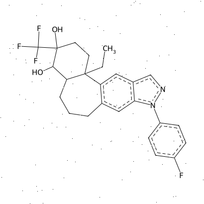 CCC12CCC(O)(C(F)(F)F)C(O)C1CCCc1cc3c(cnn3-c3ccc(F)cc3)cc12